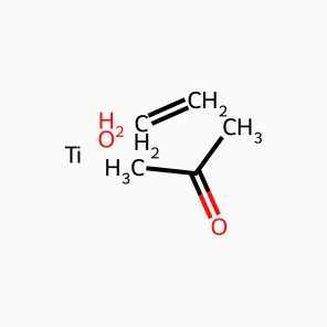 C=C.CC(C)=O.O.[Ti]